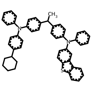 CC(c1ccc(N(c2ccccc2)c2ccc(C3CCCCC3)cc2)cc1)c1ccc(N(c2ccccc2)c2ccc3sc4ccccc4c3c2)cc1